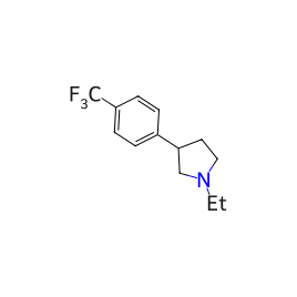 CCN1CCC(c2ccc(C(F)(F)F)cc2)C1